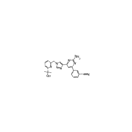 CC(C)(O)c1cccc(Cn2cc(-c3cc(-c4cccc(C#N)c4)nc(N)n3)nn2)n1